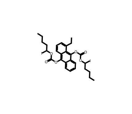 CCCCC(I)OC(=O)Oc1c2ccccc2c(OC(=O)OC(I)CCCC)c2c(CC)cccc12